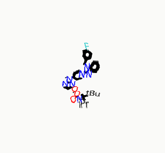 CC(C)N(C(=O)OCOc1ccnc(N(C)C2CCN(c3nc4ccccc4n3Cc3ccc(F)cc3)CC2)n1)C(C)(C)CC(C)(C)C